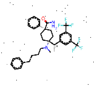 C[C@@H](c1cc(C(F)(F)F)cc(C(F)(F)F)c1)[C@]1(N(C)CCCCc2ccccc2)CC[C@@](C(N)=O)(c2ccccc2)CC1